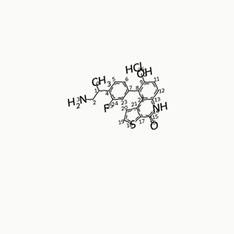 CC(CN)c1ccc(-c2c(O)ccc3[nH]c(=O)c4sccc4c23)cc1F.Cl